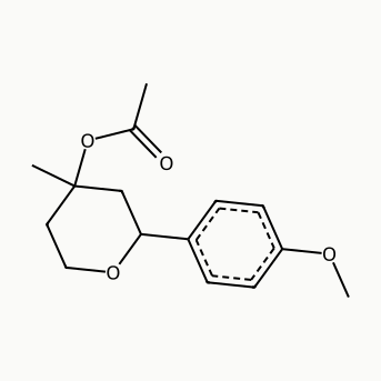 COc1ccc(C2CC(C)(OC(C)=O)CCO2)cc1